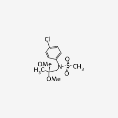 COC(C)(CN(c1ccc(Cl)cc1)S(C)(=O)=O)OC